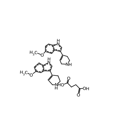 COc1ccc2[nH]cc(C3=CCNCC3)c2c1.COc1ccc2[nH]cc(C3=CCNCC3)c2c1.O=C(O)CCC(=O)O